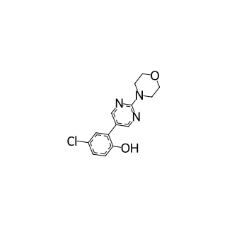 Oc1ccc(Cl)cc1-c1cnc(N2CCOCC2)nc1